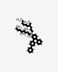 C=C/C=C\C=C\C(C=C)C/C=C/N(/C(C)=C/C=C(C)/C(C)=C/C=C\C)c1ccc(-c2ccccc2)c(-c2ccc(-c3ccccc3)cc2)c1